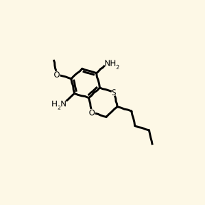 CCCCC1COc2c(N)c(OC)cc(N)c2S1